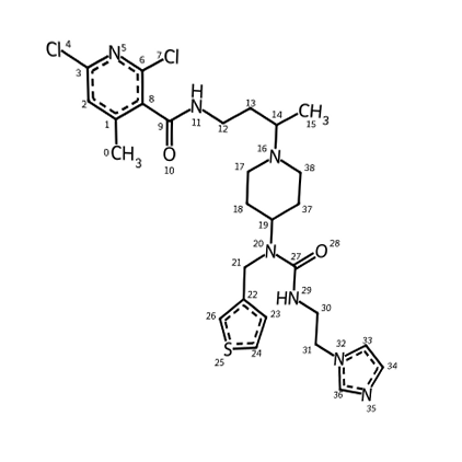 Cc1cc(Cl)nc(Cl)c1C(=O)NCCC(C)N1CCC(N(Cc2ccsc2)C(=O)NCCn2ccnc2)CC1